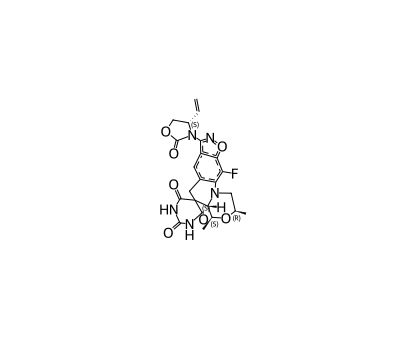 C=C[C@H]1COC(=O)N1c1noc2c(F)c3c(cc12)CC1(C(=O)NC(=O)NC1=O)[C@H]1[C@H](C)O[C@H](C)CN31